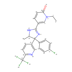 CCn1cc(C2=NC(c3ccc(F)cc3)(c3ccc(C(F)(F)F)nc3)C(C)N2)ccc1=O